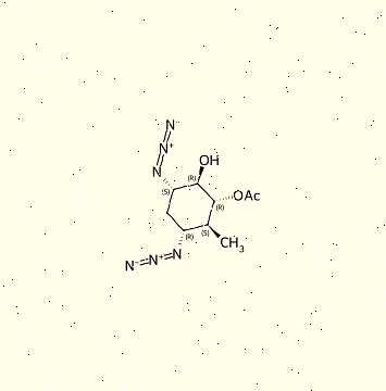 CC(=O)O[C@@H]1[C@@H](C)[C@H](N=[N+]=[N-])C[C@H](N=[N+]=[N-])[C@H]1O